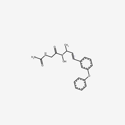 CC(/C=C/c1cccc(Oc2ccccc2)c1)N(O)C(=O)CNC(N)=O